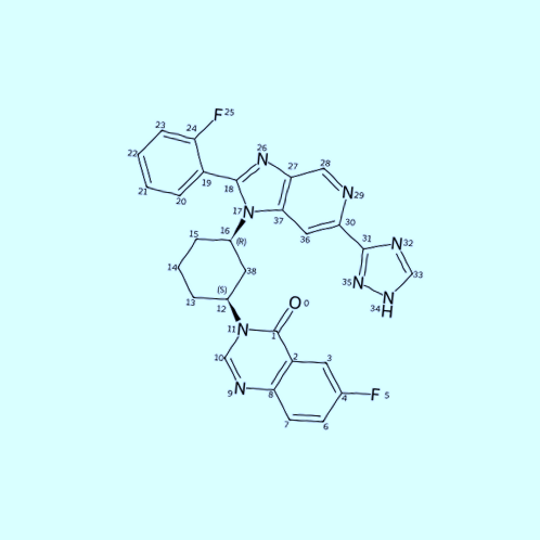 O=c1c2cc(F)ccc2ncn1[C@H]1CCC[C@@H](n2c(-c3ccccc3F)nc3cnc(-c4nc[nH]n4)cc32)C1